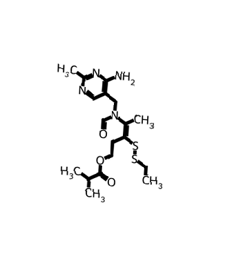 CCSS/C(CCOC(=O)C(C)C)=C(\C)N(C=O)Cc1cnc(C)nc1N